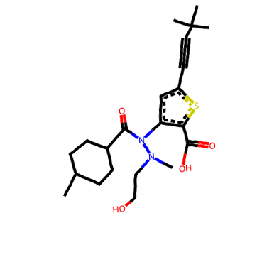 CC1CCC(C(=O)N(c2cc(C#CC(C)(C)C)sc2C(=O)O)N(C)CCO)CC1